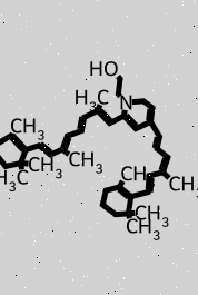 CC(C=CC1=C(C)CCCC1(C)C)=CC=CC(C)=CC1=CC(C=CC=C(C)C=CC2=C(C)CCCC2(C)C)=CCN1CCO